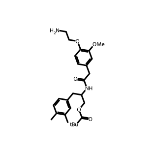 COc1cc(CC(=O)NC(COC(=O)C(C)(C)C)Cc2ccc(C)c(C)c2)ccc1OCCN